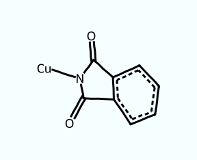 O=C1c2ccccc2C(=O)[N]1[Cu]